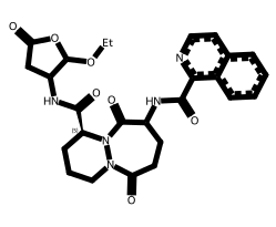 CCOC1OC(=O)CC1NC(=O)[C@@H]1CCCN2C(=O)CCC(NC(=O)c3nccc4ccccc34)C(=O)N12